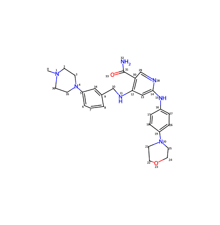 CN1CCN(c2cccc(CNc3cc(Nc4ccc(N5CCOCC5)cc4)ncc3C(N)=O)c2)CC1